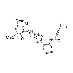 CC#CC(=O)Nc1ccccc1-c1cc(CNc2c(Cl)c(OC)cc(OC)c2Cl)[nH]n1